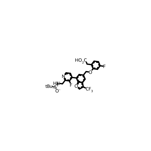 CC(C)(C)[S@+]([O-])NCc1nccc(-c2cc(COc3cc(F)ccc3CC(=O)O)cc3c(C(F)(F)F)coc23)c1F